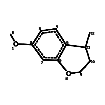 COc1ccc2c(c1)OCCC2C